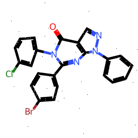 O=c1c2cnn(-c3ccccc3)c2nc(-c2ccc(Br)cc2)n1-c1cccc(Cl)c1